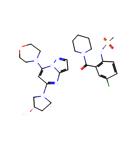 CS(=O)(=O)Nc1ccc(Cl)cc1C(=O)N1CCCC[C@H]1c1cc2nc(N3CC[C@@H](O)C3)cc(N3CCOCC3)n2n1